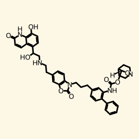 O=C(Nc1cc(CCCn2c(=O)oc3cc(CCNCC(O)c4ccc(O)c5[nH]c(=O)ccc45)ccc32)ccc1-c1ccccc1)O[C@H]1CN2CCC1CC2